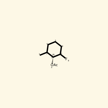 CC(=O)O[C@@H]1C(C)CCCC1F